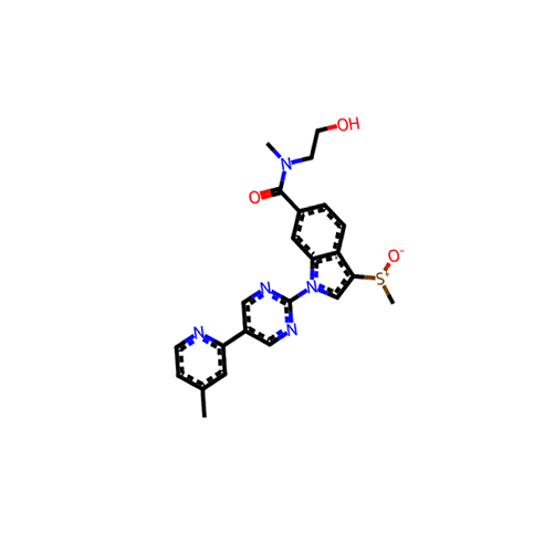 Cc1ccnc(-c2cnc(-n3cc([S+](C)[O-])c4ccc(C(=O)N(C)CCO)cc43)nc2)c1